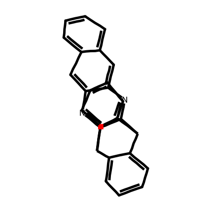 c1ccc2c(c1)C1c3ccccc3C2c2nc3cc4ccccc4cc3nc21